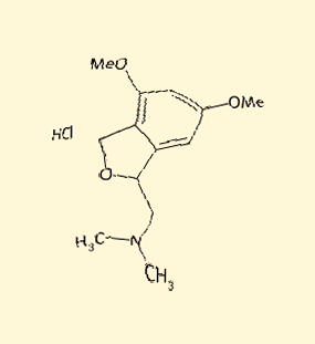 COc1cc(OC)c2c(c1)C(CN(C)C)OC2.Cl